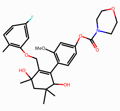 COc1cc(OC(=O)N2CCOCC2)ccc1C1=C(COc2cc(F)ccc2C)C(C)(O)CC(C)(C)C1O